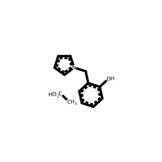 CC(=O)O.Oc1ccccc1Cn1cccc1